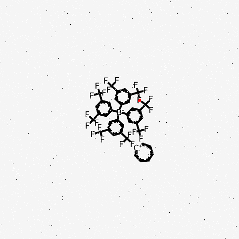 FC(F)(F)c1cc([B-](c2cc(C(F)(F)F)cc(C(F)(F)F)c2)(c2cc(C(F)(F)F)cc(C(F)(F)F)c2)c2cc(C(F)(F)F)cc(C(F)(F)F)c2)cc(C(F)(F)F)c1.c1ccc[cH+]cc1